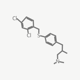 CC(Cc1ccc(SCc2ccc(Cl)cc2Cl)cc1)CN(C)C